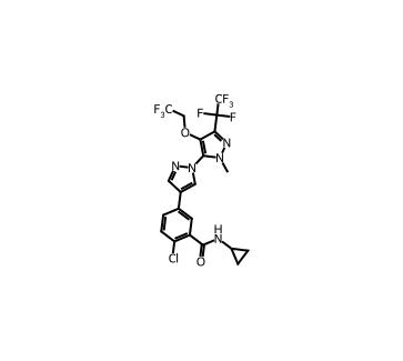 Cn1nc(C(F)(F)C(F)(F)F)c(OCC(F)(F)F)c1-n1cc(-c2ccc(Cl)c(C(=O)NC3CC3)c2)cn1